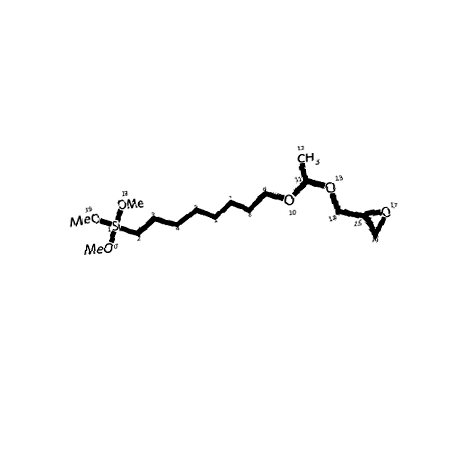 CO[Si](CCCCCCCCOC(C)OCC1CO1)(OC)OC